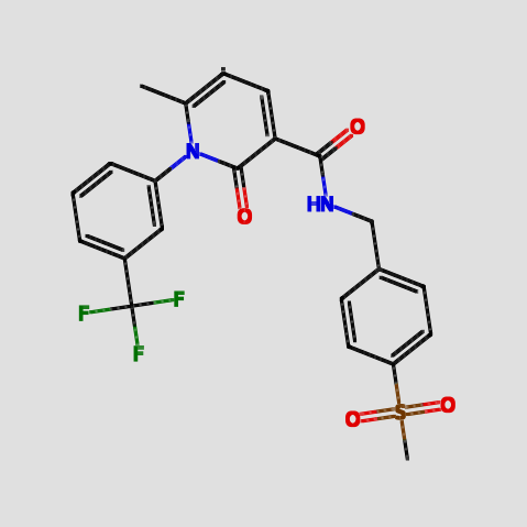 Cc1[c]cc(C(=O)NCc2ccc(S(C)(=O)=O)cc2)c(=O)n1-c1cccc(C(F)(F)F)c1